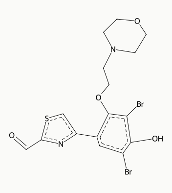 O=Cc1nc(-c2cc(Br)c(O)c(Br)c2OCCN2CCOCC2)cs1